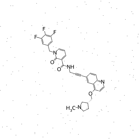 CN1CC[C@@H](COc2ccnc3ccc(C#CCNC(=O)c4cccn(Cc5cc(F)c(F)c(F)c5)c4=O)cc23)C1